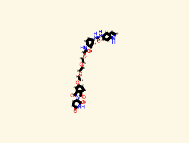 O=C1CCC(N2C(=O)c3ccc(OCCOCCOCCOCC(=O)Nc4ccc(NC(=O)Nc5ccc6[nH]ccc6c5)cc4)cc3C2=O)C(=O)N1